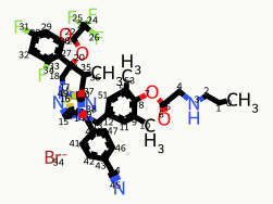 CCCNCC(=O)Oc1c(C)cc(C[n+]2cnn(CC(OC(=O)C(F)(F)F)(c3ccc(F)cc3F)C(C)c3nc(-c4ccc(C#N)cc4)cs3)c2)cc1C.[Br-]